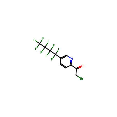 O=C(CBr)c1ccc(C(F)(F)C(F)(F)C(F)(F)C(F)(F)F)cn1